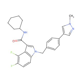 Cn1cc(-c2ccc(Cn3cc(C(=O)NC4CCCCC4)c4c(F)c(F)ccc43)cc2)cn1